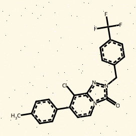 Cc1ccc(-c2ccn3c(=O)n(Cc4ccc(C(F)(F)F)cc4)nc3c2Cl)cc1